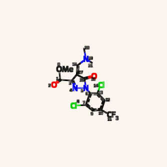 COC(=O)C1=NN(c2c(Cl)cc(C(F)(F)F)cc2Cl)C(=O)C1=CN(C)C